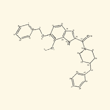 COc1c(OCc2ccccc2)ccc2cc(C(=O)N3CCC(Cc4ccccc4)CC3)[nH]c12